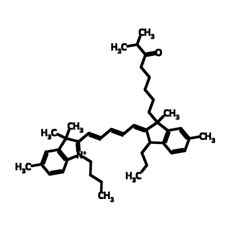 CCCC[N+]1=C(/C=C/C=C/C=C2\C(CCC)c3ccc(C)cc3C2(C)CCCCCC(=O)C(C)C)C(C)(C)c2cc(C)ccc21